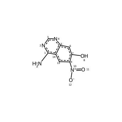 Nc1ncnc2cc(O)c([N+](=O)[O-])cc12